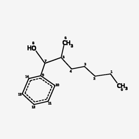 CCCCCC(C)C(O)c1ccccc1